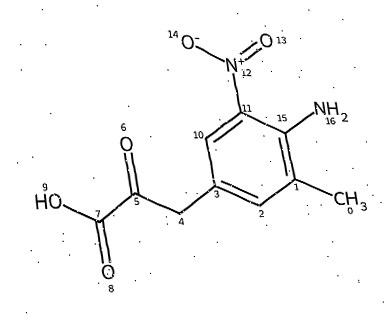 Cc1cc(CC(=O)C(=O)O)cc([N+](=O)[O-])c1N